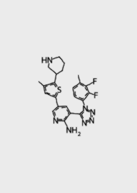 Cc1cc(-c2cnc(N)c(-c3nnnn3-c3ccc(C)c(F)c3F)c2)sc1C1CCCNC1